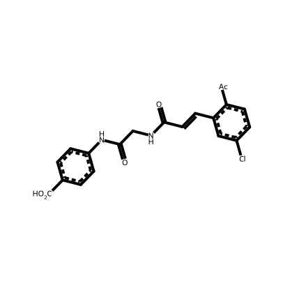 CC(=O)c1ccc(Cl)cc1/C=C/C(=O)NCC(=O)Nc1ccc(C(=O)O)cc1